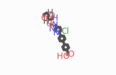 O=C(O)c1ccc(-c2ccc(-c3nc4nc(OC5CO[C@@H]6CCO[C@H]56)[nH]c4cc3Cl)cc2)cc1